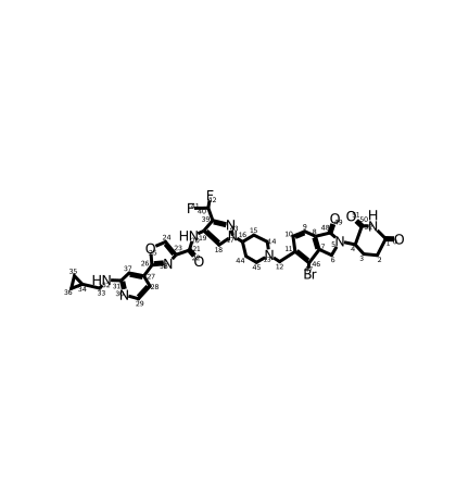 O=C1CCC(N2Cc3c(ccc(CN4CCC(n5cc(NC(=O)c6coc(-c7ccnc(NCC8CC8)c7)n6)c(C(F)F)n5)CC4)c3Br)C2=O)C(=O)N1